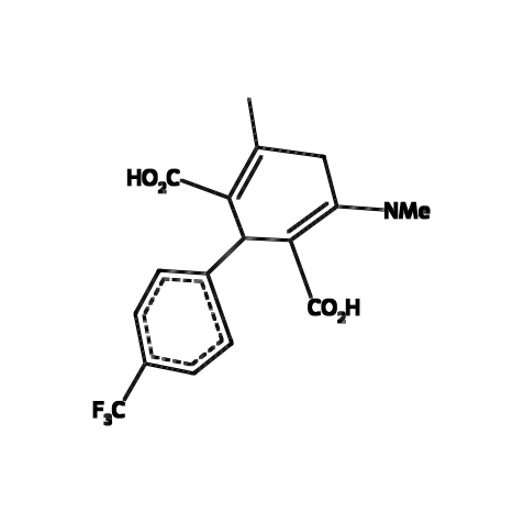 CNC1=C(C(=O)O)C(c2ccc(C(F)(F)F)cc2)C(C(=O)O)=C(C)C1